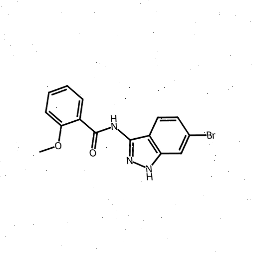 COc1ccccc1C(=O)Nc1n[nH]c2cc(Br)ccc12